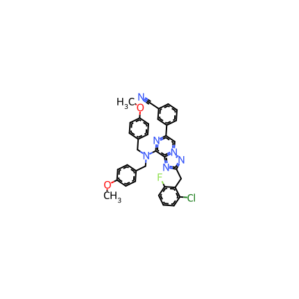 COc1ccc(CN(Cc2ccc(OC)cc2)c2nc(-c3cccc(C#N)c3)cn3nc(Cc4c(F)cccc4Cl)nc23)cc1